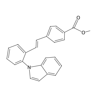 COC(=O)c1ccc(/C=C/c2ccccc2-n2ccc3ccccc32)cc1